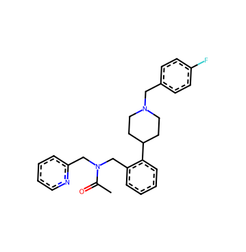 CC(=O)N(Cc1ccccn1)Cc1ccccc1C1CCN(Cc2ccc(F)cc2)CC1